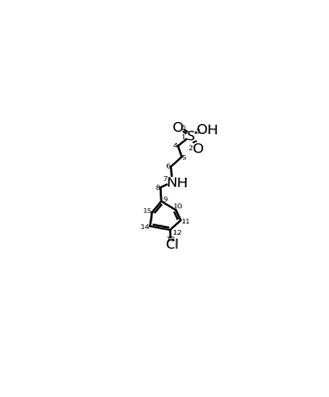 O=S(=O)(O)CCCNCc1ccc(Cl)cc1